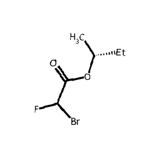 CC[C@@H](C)OC(=O)C(F)Br